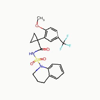 COc1ccc(C(F)(F)F)cc1C1(C(=O)NS(=O)(=O)N2CCCc3ccccc32)CC1